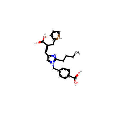 CCCCc1nc(/C=C(\Cc2cccs2)C(=O)O)cn1Cc1ccc(C(=O)O)cc1